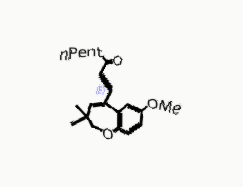 CCCCCC(=O)/C=C/C1=CC(C)(C)COc2ccc(OC)cc21